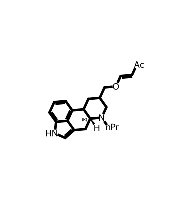 CCCN1CC(COC=CC(C)=O)CC2c3cccc4[nH]cc(c34)C[C@H]21